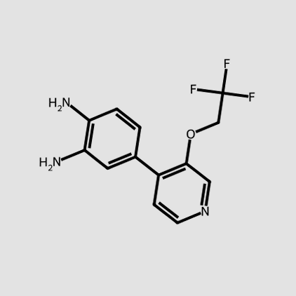 Nc1ccc(-c2ccncc2OCC(F)(F)F)cc1N